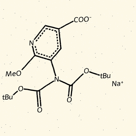 COc1ncc(C(=O)[O-])cc1N(C(=O)OC(C)(C)C)C(=O)OC(C)(C)C.[Na+]